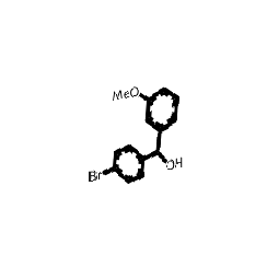 COc1cccc(C(O)c2ccc(Br)cc2)c1